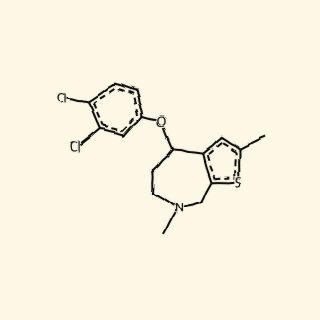 Cc1cc2c(s1)CN(C)CCC2Oc1ccc(Cl)c(Cl)c1